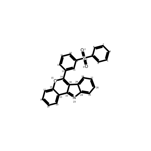 O=S(=O)(c1ccccc1)c1cccc(-c2oc3ccccc3c3nc4ccccc4c2-3)c1